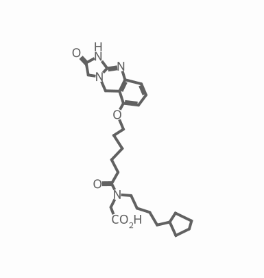 O=C(O)CN(CCCCC1CCCC1)C(=O)CCCCCOc1cccc2c1CN1CC(=O)NC1=N2